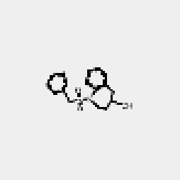 O=S(=O)(Cc1ccccc1)N1CCC(O)Cc2ccccc21